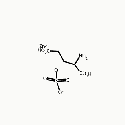 NC(CCC(=O)O)C(=O)O.O=S(=O)([O-])[O-].[Zn+2]